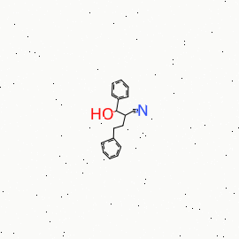 N#CC(CCc1ccccc1)C(O)c1ccccc1